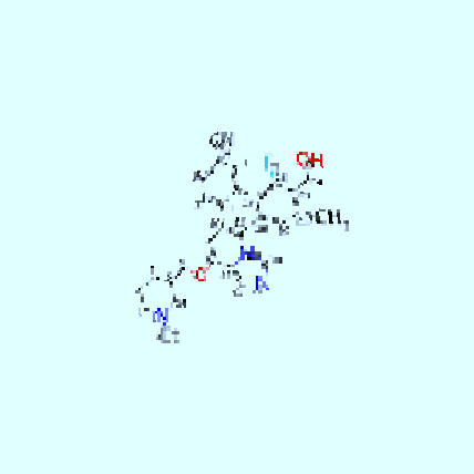 CCN1CCC[C@@H](COc2cc(-c3ccc(C#N)cc3)c(-c3cc(C)c(CO)c(F)c3)n3cncc23)C1